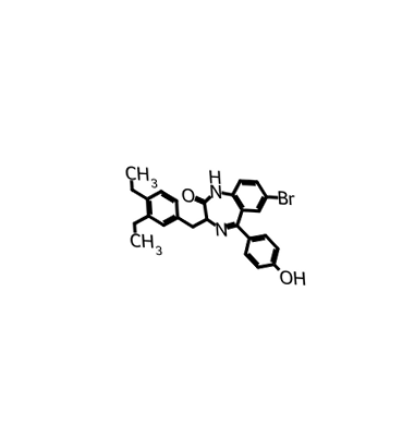 CCc1ccc(CC2N=C(c3ccc(O)cc3)c3cc(Br)ccc3NC2=O)cc1CC